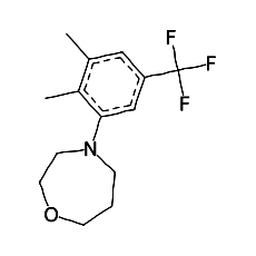 Cc1cc(C(F)(F)F)cc(N2CCCOCC2)c1C